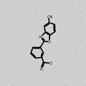 N#Cc1ccc2oc(-c3cccc(C(=O)Cl)c3)nc2c1